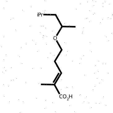 CC(=CCCOC(C)CC(C)C)C(=O)O